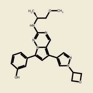 COC[C@H](C)Nc1ncc2c(-c3cnn(C4COC4)c3)cc(-c3cccc(O)c3)n2n1